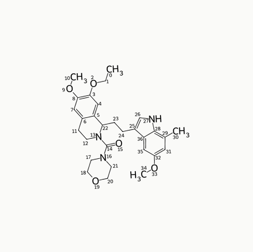 CCOc1cc2c(cc1OC)CCN(C(=O)N1CCOCC1)C2CCc1c[nH]c2c(C)cc(OC)cc12